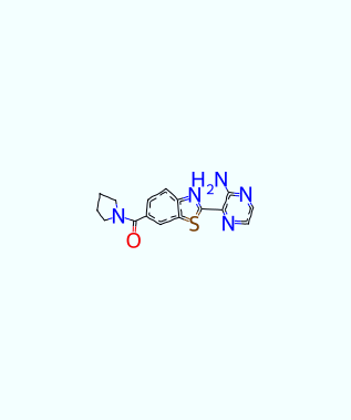 Nc1nccnc1-c1nc2ccc(C(=O)N3CCCC3)cc2s1